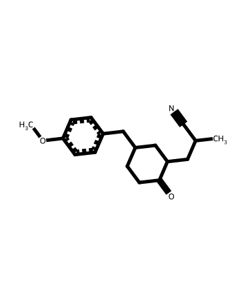 COc1ccc(CC2CCC(=O)C(CC(C)C#N)C2)cc1